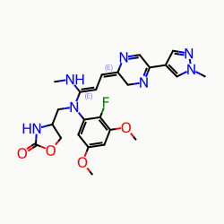 CN/C(=C\C=C1/CN=C(c2cnn(C)c2)C=N1)N(CC1COC(=O)N1)c1cc(OC)cc(OC)c1F